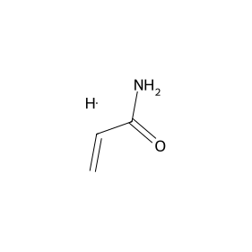 C=CC(N)=O.[H]